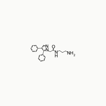 NCCCNC(=O)Cn1ncc(-c2ccccc2)c1-c1ccccc1